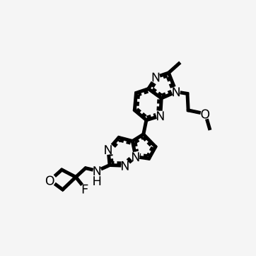 COCCn1c(C)nc2ccc(-c3ccn4nc(NCC5(F)COC5)ncc34)nc21